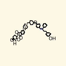 O=C1CCC(N2C(=O)c3ccc(N4CCN(CC5CCC(Oc6ccc(/C=C(/CCc7ccc(O)cc7)c7ccccc7)cc6)CC5)CC4)cc3C2=O)C(=O)N1